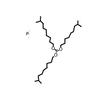 CC(C)CCCCCCCOP(OCCCCCCCC(C)C)OCCCCCCCC(C)C.[P]